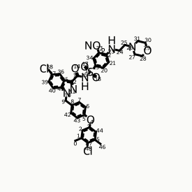 Cc1cc(Oc2ccc(Cn3nc(C(=O)NS(=O)(=O)c4ccc(NCCN5CCOCC5)c([N+](=O)[O-])c4)c4cc(Cl)ccc43)cc2)cc(C)c1Cl